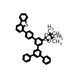 CC1(C)OB(c2cc(-c3ccc(-c4cccc5c4sc4ccccc45)cc3)cc(-c3cc(-c4ccccc4)cc(-c4ccccc4)c3)c2)OC1(C)C